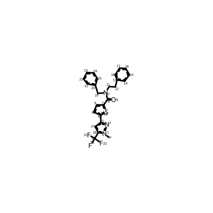 Cn1nc(-c2ccc(C(=O)N(CCc3ccccc3)Cc3ccccc3)s2)cc1C(F)(F)F